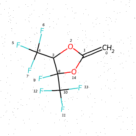 C=C1OC(C(F)(F)F)C(F)(C(F)(F)F)O1